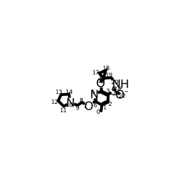 Cc1cc2c(nc1OCCN1CCCC1)OC1(CC1)CN[S+]2[O-]